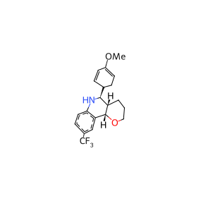 COC1=CCC([C@@H]2Nc3ccc(C(F)(F)F)cc3[C@H]3OCCC[C@H]32)C=C1